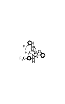 C[C@H]1CN(c2ncccc2C(F)(F)F)CCN1c1nc(Nc2ccc(C(F)(F)F)cc2)nc(-c2ccccc2Cl)n1